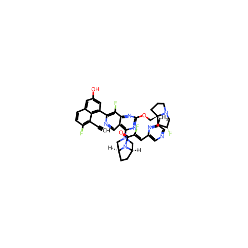 C#Cc1c(F)ccc2cc(O)cc(-c3ncc4c(N5C[C@H]6CC[C@@H](C5)N6C(=O)/C(F)=C/c5cncc(C)n5)nc(OC[C@@]56CCCN5C[C@H](F)C6)nc4c3F)c12